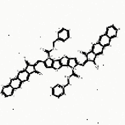 O=C1C(=Cc2cc3sc4c(sc5cc(/C=C6\C(=O)c7cc8cc9ccccc9cc8cc7C6O)n(C(=O)OCc6ccccc6)c54)c3n2C(=O)OCc2ccccc2)C(=O)c2cc3cc4ccccc4cc3cc21